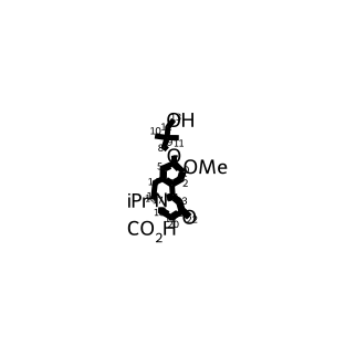 COc1cc2c(cc1OCC(C)(C)CO)C[C@@H](C(C)C)n1cc(C(=O)O)c(=O)cc1-2